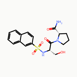 NC(=O)[C@@H]1CCCN1C(=O)[C@H](CO)NS(=O)(=O)c1ccc2ccccc2c1